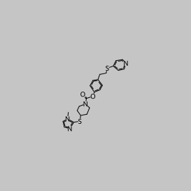 Cn1ccnc1SC1CCN(C(=O)Oc2ccc(CCSc3ccncc3)cc2)CC1